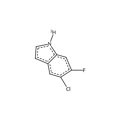 [2H]n1ccc2cc(Cl)c(F)cc21